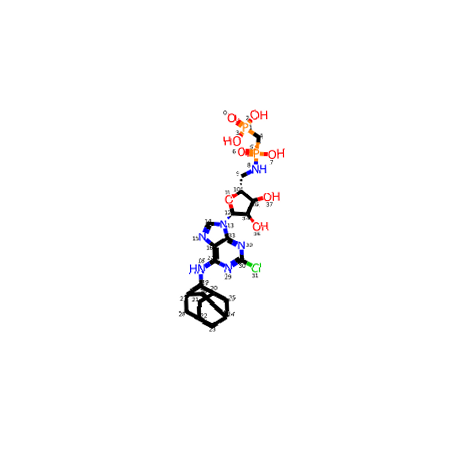 O=P(O)(O)CP(=O)(O)NC[C@H]1O[C@@H](n2cnc3c(NC4C5CC6CC(C5)CC4C6)nc(Cl)nc32)C(O)C1O